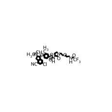 Cc1cc(S(=O)(=O)N[C@H]2CCN(CCOCCNC(=O)C(F)(F)F)C2=O)ccc1O[C@H]1c2cc(Cl)cc(C#N)c2C[C@@H]1N(C)C